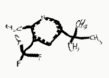 Cc1ncc(C(C)(C)C)cc1C(F)(F)F